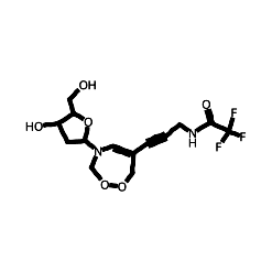 O=C(NCC#CC1=CN(C2CC(O)C(CO)O2)COOC1)C(F)(F)F